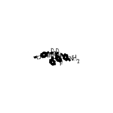 CCOc1ccc(C[C@@H](NC(=O)c2ccccc2)C(=O)N[C@](C)(C(=O)NCc2ccc(CN)cc2)c2ccc(F)cc2)cc1